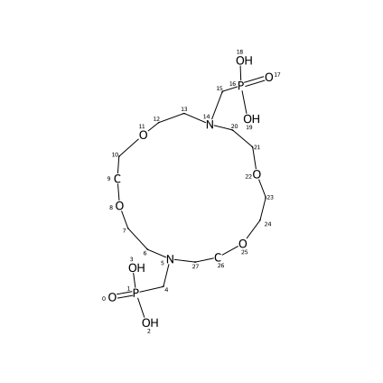 O=P(O)(O)CN1CCOCCOCCN(CP(=O)(O)O)CCOCCOCC1